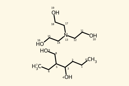 CCCC(O)C(CC)CO.OCCN(CCO)CCO